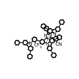 N#Cc1ccc(-n2c3ccc(-c4ccccc4)cc3c3cc(-c4ccccc4)ccc32)c(-c2nc(-c3ccccc3)nc(-c3cc(-c4cccc(-n5c6ccc(-c7ccccc7)cc6c6cc(-c7ccccc7)ccc65)c4C(F)(F)F)ccc3-n3c4ccc(-c5ccccc5)cc4c4cc(-c5ccccc5)ccc43)n2)c1